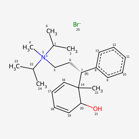 CC(C)[N+](C)(CC[C@H](c1ccccc1)C1(C)C=CC=CC1O)C(C)C.[Br-]